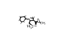 CCc1c(C(=O)OC)cnn1C1CCCCC1